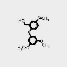 COc1cc(OC)cc(Sc2ccc(SC)cc2CO)c1